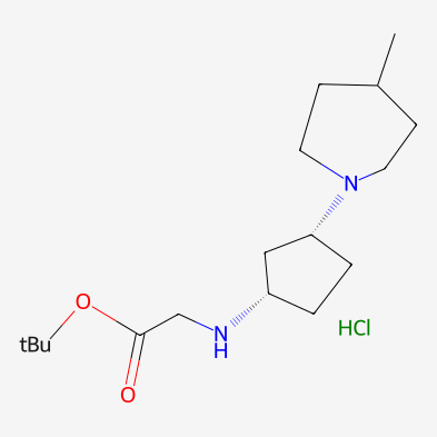 CC1CCN([C@@H]2CC[C@H](NCC(=O)OC(C)(C)C)C2)CC1.Cl